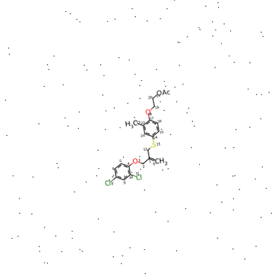 C=C(COc1ccc(Cl)cc1Cl)CSc1ccc(OCCOC(C)=O)c(C)c1